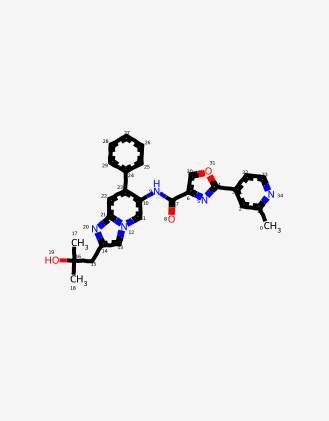 Cc1cc(-c2nc(C(=O)Nc3cn4cc(CC(C)(C)O)nc4cc3-c3ccccc3)co2)ccn1